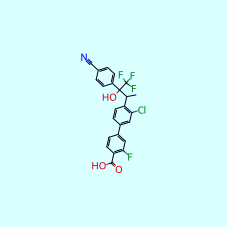 CC(c1ccc(-c2ccc(C(=O)O)c(F)c2)cc1Cl)C(O)(c1ccc(C#N)cc1)C(F)(F)F